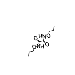 CCCONC(=O)C(=O)NOCCC